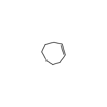 C1=CCC[N]CCC1